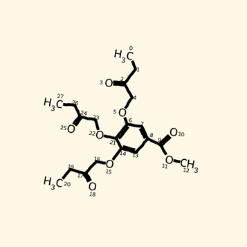 CCC(=O)COc1cc(C(=O)OC)cc(OCC(=O)CC)c1OCC(=O)CC